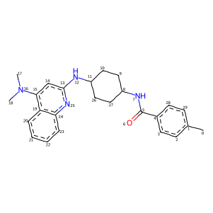 Cc1ccc(C(=O)NC2CCC(Nc3cc(N(C)C)c4ccccc4n3)CC2)cc1